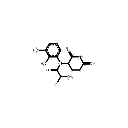 Cc1cccc(N(C(=O)C(C)C(C)C)C2CCC(=O)NC2=O)c1C